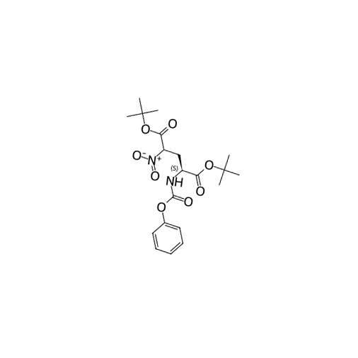 CC(C)(C)OC(=O)C(C[C@H](NC(=O)Oc1ccccc1)C(=O)OC(C)(C)C)[N+](=O)[O-]